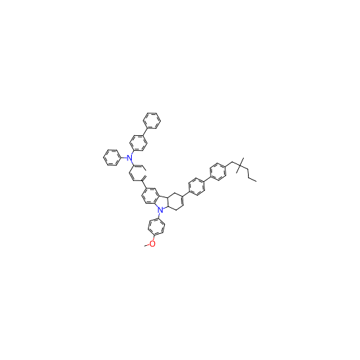 C=C(/C=C\C(=C/C)N(c1ccccc1)c1ccc(-c2ccccc2)cc1)c1ccc2c(c1)C1CC(c3ccc(-c4ccc(CC(C)(C)CCC)cc4)cc3)=CCC1N2c1ccc(OC)cc1